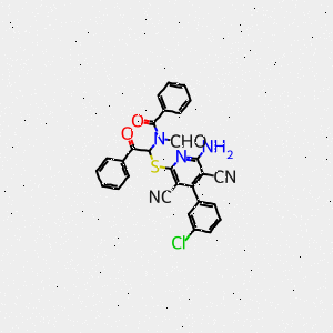 N#Cc1c(N)nc(SC(C(=O)c2ccccc2)N(C=O)C(=O)c2ccccc2)c(C#N)c1-c1cccc(Cl)c1